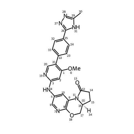 COc1cc(Nc2cnc3c(c2)N2C(=O)CC[C@H]2CO3)ncc1-c1ccc(-c2nnc(C)[nH]2)cc1